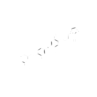 CC(=O)OC(CCl)COc1ccc(C(C)(C)c2ccc(OCC(C)Cn3ccnc3)c(Cl)c2)cc1Cl